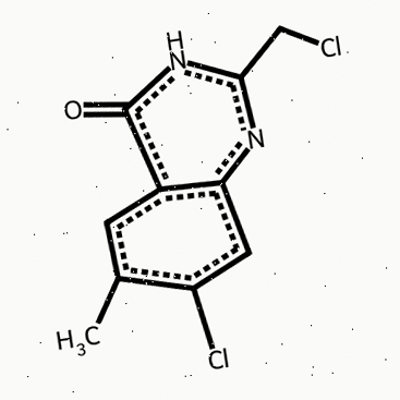 Cc1cc2c(=O)[nH]c(CCl)nc2cc1Cl